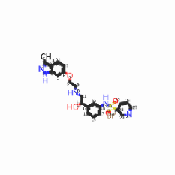 Cc1n[nH]c2cc(OCCNCC(O)c3cccc(NS(=O)(=O)[C@@]4(Br)C=CC=NC4)c3)ccc12